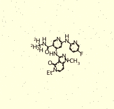 [2H]C([2H])([2H])NC(=O)c1cnc(Nc2ccc(F)cn2)cc1Nc1nn(C)c2ccn(CC)c(=O)c12